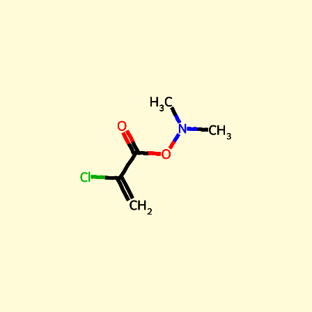 C=C(Cl)C(=O)ON(C)C